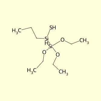 CCC[SiH](S)[Si](OCC)(OCC)OCC